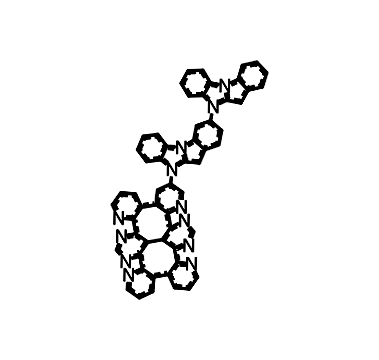 c1ccc2c(c1)cc1n(-c3ccc4cc5n(-c6cnc7c8ncnc9c8-c8c(ncnc8c8ncccc8c7c6)c6ncccc6c6cccnc96)c6ccccc6n5c4c3)c3ccccc3n21